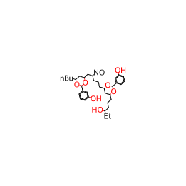 CCCCC1CC(CC(CCCC2CC(CCCC(O)CC)OC(c3cccc(O)c3)O2)N=O)OC(c2cccc(O)c2)O1